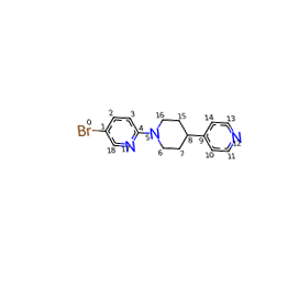 Brc1ccc(N2CCC(c3ccncc3)CC2)nc1